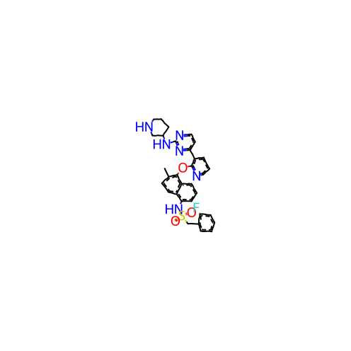 Cc1ccc2c(NS(=O)(=O)Cc3ccccc3F)cccc2c1Oc1ncccc1-c1ccnc(NC2CCCNC2)n1